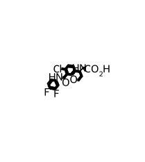 O=C(O)N[C@H]1CCOc2c1ccc(Cl)c2C(=O)Nc1ccc(F)c(F)c1